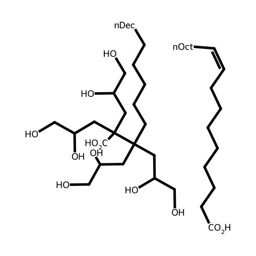 CCCCCCCC/C=C\CCCCCCCC(=O)O.CCCCCCCCCCCCCCCC(CC(O)CO)(CC(O)CO)C(CC(O)CO)(CC(O)CO)C(=O)O